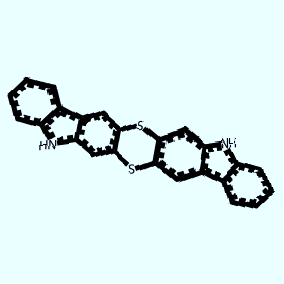 c1ccc2c(c1)[nH]c1cc3c(cc12)Sc1cc2[nH]c4ccccc4c2cc1S3